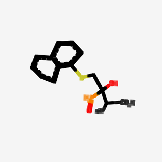 CCCC(C(=O)O)C(O)(CSc1cccc2ccccc12)[PH2]=O